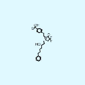 O=C(O)c1ccc(CCN2C(=O)C(F)(F)C[C@@H]2/C=C/[C@@H](O)CCCCc2ccccc2)cc1